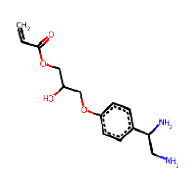 C=CC(=O)OCC(O)COc1ccc(C(N)CN)cc1